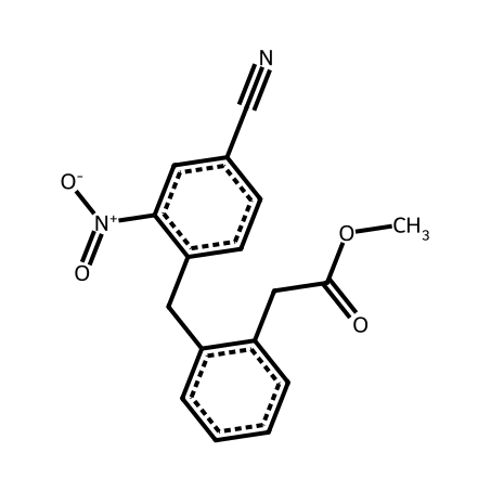 COC(=O)Cc1ccccc1Cc1ccc(C#N)cc1[N+](=O)[O-]